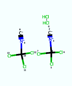 Cl.Cl.[C-]#[N+]C(Cl)(Cl)Cl.[C-]#[N+]C(Cl)(Cl)Cl